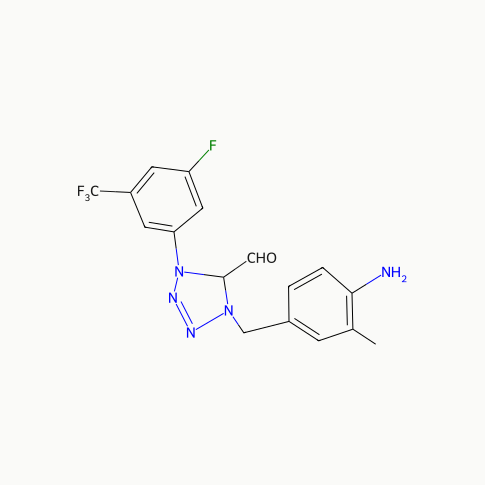 Cc1cc(CN2N=NN(c3cc(F)cc(C(F)(F)F)c3)C2C=O)ccc1N